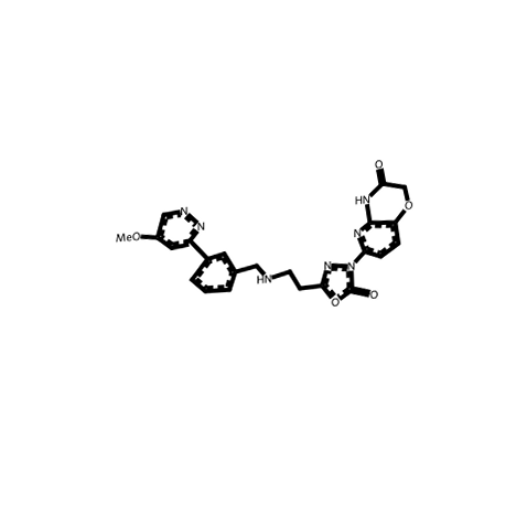 COc1cnnc(-c2cccc(CNCCc3nn(-c4ccc5c(n4)NC(=O)CO5)c(=O)o3)c2)c1